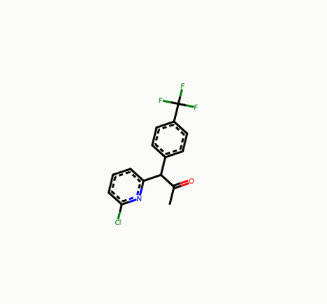 CC(=O)C(c1ccc(C(F)(F)F)cc1)c1cccc(Cl)n1